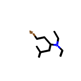 CCN(CC)C(CCBr)CC(C)C